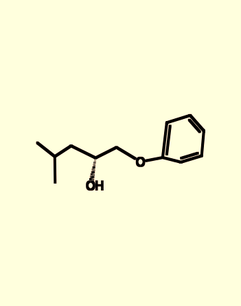 CC(C)C[C@@H](O)COc1ccccc1